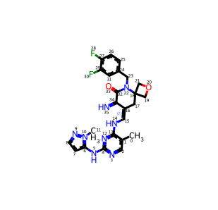 Cc1cnc(Nc2ccnn2C)nc1N/C=C1/CC2(COC2)N(Cc2ccc(F)c(F)c2)C(=O)C1=N